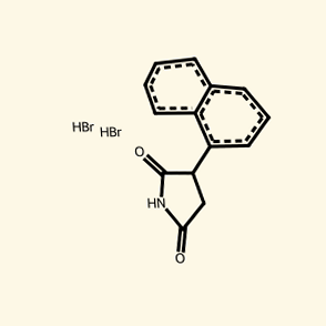 Br.Br.O=C1CC(c2cccc3ccccc23)C(=O)N1